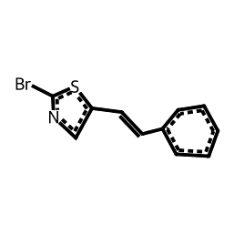 Brc1ncc(/C=C/c2ccccc2)s1